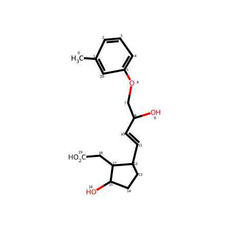 Cc1cccc(OCC(O)C=CC2CCC(O)C2CC(=O)O)c1